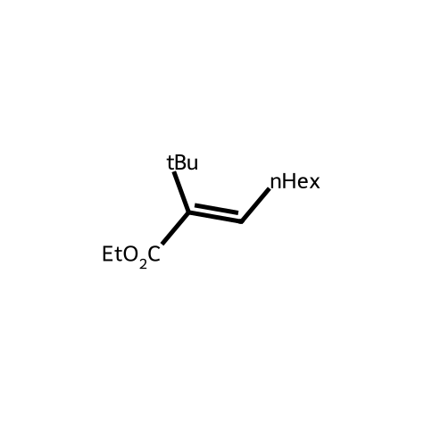 CCCCCCC=C(C(=O)OCC)C(C)(C)C